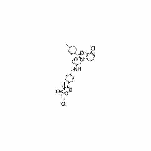 COCCS(=O)(=O)NC(=O)c1ccc(CNC(=O)CN(c2cccc(Cl)c2C)S(=O)(=O)c2ccc(C)cc2)cc1